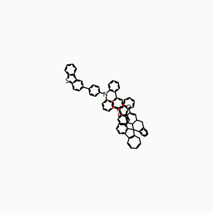 C1=CCC2=C(C=C1)c1ccccc1C21c2ccccc2CC2C=C3Oc4cc(-c5ccccc5N(c5ccc(-c6ccc7sc8ccccc8c7c6)cc5)c5cccc(-n6c7ccccc7c7ccccc76)c5)ccc4OC3=CC21